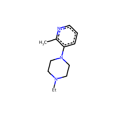 CCN1CCN(c2cccnc2C)CC1